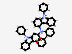 c1ccc(-c2ccccc2N(c2ccc3c4ccccc4n(-c4ccccc4)c3c2)c2cccc3c2c2ccccc2n3-c2ccccc2)cc1